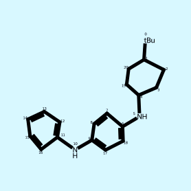 CC(C)(C)C1CCC(Nc2ccc(Nc3ccccc3)cc2)CC1